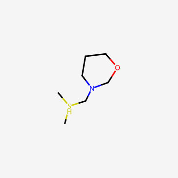 C[SH](C)CN1CCCOC1